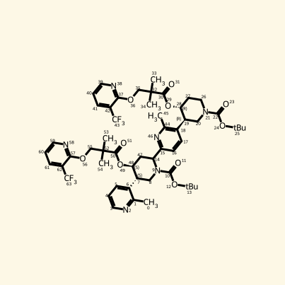 Cc1ncccc1[C@H]1CN(C(=O)OC(C)(C)C)C(c2ccc([C@@H]3CN(C(=O)OC(C)(C)C)CC[C@H]3OC(=O)C(C)(C)COc3ncccc3C(F)(F)F)c(C)n2)C[C@@H]1OC(=O)C(C)(C)COc1ncccc1C(F)(F)F